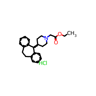 CCOC(=O)CN1CCC(=C2c3ccccc3CCc3ccccc32)CC1.Cl